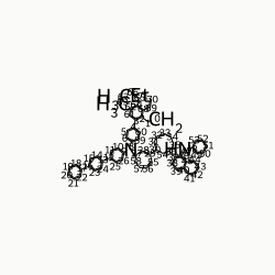 C=Cc1c(-c2ccc(N(c3ccc(-c4ccc(-c5ccccc5)cc4)cc3)C3C=C(/C4=C/C=C\CCC(c5ccc6ccccc6c5Nc5ccccc5)C4)C=CCC3)cc2)cc(C)c(/C=C\C)c1/C=C\CC